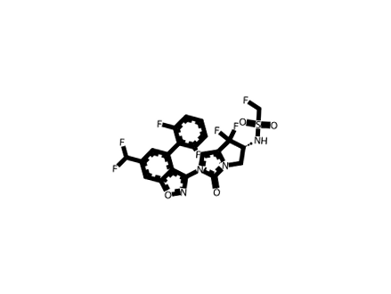 O=c1n(-c2noc3cc(C(F)F)cc(-c4c(F)cccc4F)c23)cc2n1C[C@@H](NS(=O)(=O)CF)C2(F)F